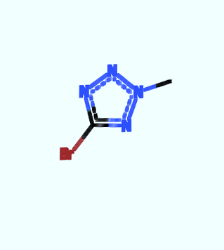 Cn1nnc(Br)n1